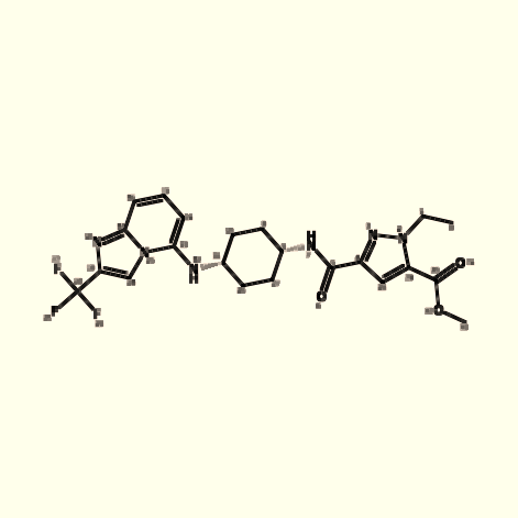 CCn1nc(C(=O)N[C@H]2CC[C@@H](Nc3cccc4nc(C(F)(F)F)cn34)CC2)cc1C(=O)OC